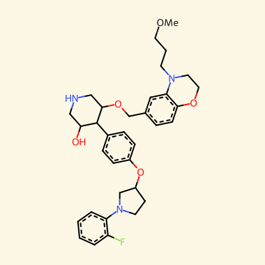 COCCCN1CCOc2ccc(COC3CNCC(O)C3c3ccc(OC4CCN(c5ccccc5F)C4)cc3)cc21